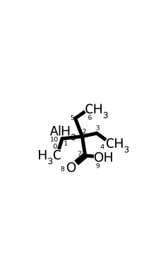 CCC(CC)(CC)C(=O)O.[AlH3]